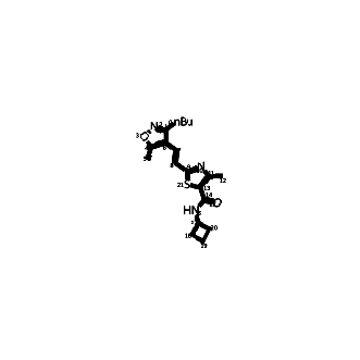 CCCCc1noc(C)c1C=Cc1nc(C)c(C(=O)NC2CCC2)s1